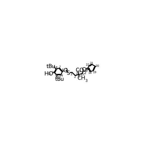 CC(CCSOc1cc(C(C)(C)C)c(O)c(C(C)(C)C)c1)(COc1ccccc1)C(=O)O